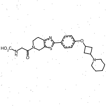 O=C(O)NCC(=O)N1CCc2nc(-c3ccc(OC4CC(N5CCCCC5)C4)cc3)sc2C1